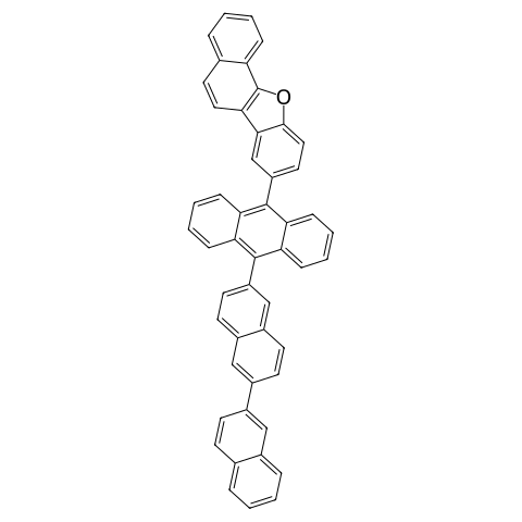 c1ccc2cc(-c3ccc4cc(-c5c6ccccc6c(-c6ccc7oc8c9ccccc9ccc8c7c6)c6ccccc56)ccc4c3)ccc2c1